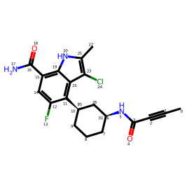 CC#CC(=O)N[C@H]1CCC[C@@H](c2c(F)cc(C(N)=O)c3[nH]c(C)c(Cl)c23)C1